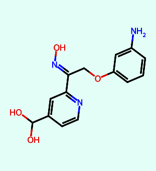 Nc1cccc(OC/C(=N\O)c2cc(C(O)O)ccn2)c1